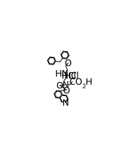 Cl.Cl.O=C(O)CN(CCNCCOc1ccccc1Cc1ccccc1)S(=O)(=O)c1cccc2cnccc12